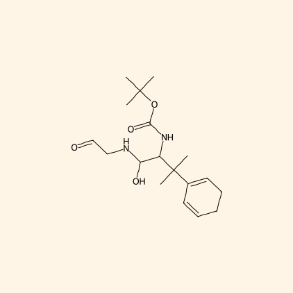 CC(C)(C)OC(=O)NC(C(O)NCC=O)C(C)(C)C1=CCCC=C1